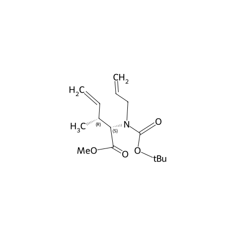 C=CCN(C(=O)OC(C)(C)C)[C@H](C(=O)OC)[C@H](C)C=C